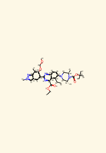 CCOC(=O)c1nc(-c2cc3cn(C)nc3c(C)c2OCOC)nc2ccc(N3C[C@@H](C)N(C(=O)OC(C)(C)C)[C@H](C)C3)c(CC)c12